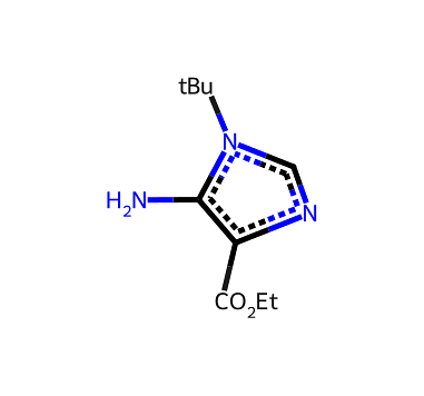 CCOC(=O)c1ncn(C(C)(C)C)c1N